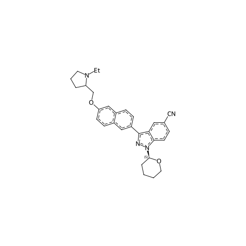 CCN1CCCC1COc1ccc2cc(-c3nn([C@@H]4CCCCO4)c4ccc(C#N)cc34)ccc2c1